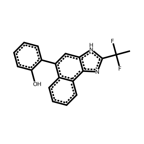 CC(F)(F)c1nc2c(cc(-c3ccccc3O)c3ccccc32)[nH]1